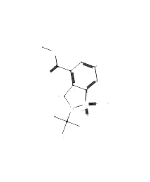 COC(=O)c1cccc2c1CN(C(C)(C)C)S2(=O)=O